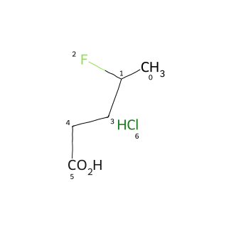 CC(F)CCC(=O)O.Cl